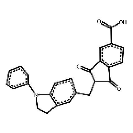 O=C(O)c1ccc2c(c1)C(=O)C(Cc1ccc3c(c1)CCN3c1ccccc1)C2=O